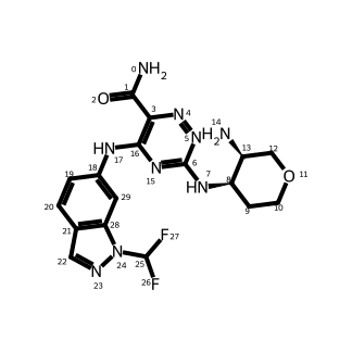 NC(=O)c1nnc(N[C@@H]2CCOC[C@@H]2N)nc1Nc1ccc2cnn(C(F)F)c2c1